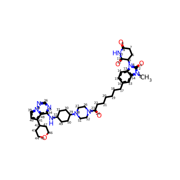 Cn1c(=O)n(C2CCC(=O)NC2=O)c2ccc(CCCCCCC(=O)N3CCN(C4CCC(Nc5ncnn6ccc(C7CCOCC7)c56)CC4)CC3)cc21